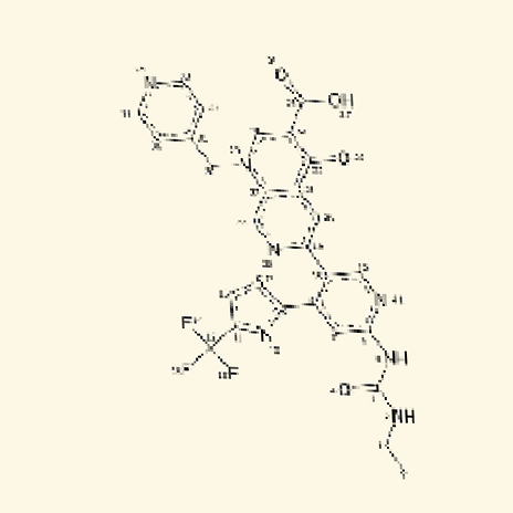 CCNC(=O)Nc1cc(-c2nc(C(F)(F)F)cs2)c(-c2cc3c(=O)c(C(=O)O)cn(Cc4ccncc4)c3cn2)cn1